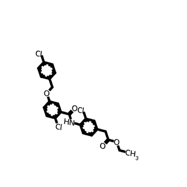 CCOC(=O)Cc1ccc(NC(=O)c2cc(OCc3ccc(Cl)cc3)ccc2Cl)c(Cl)c1